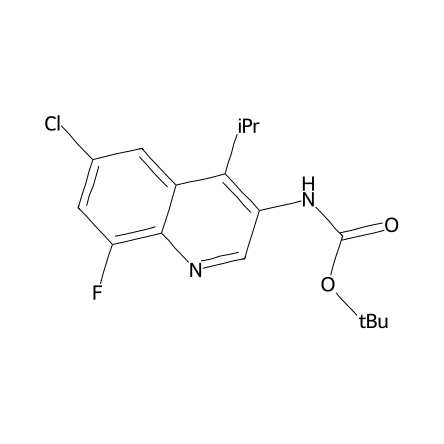 CC(C)c1c(NC(=O)OC(C)(C)C)cnc2c(F)cc(Cl)cc12